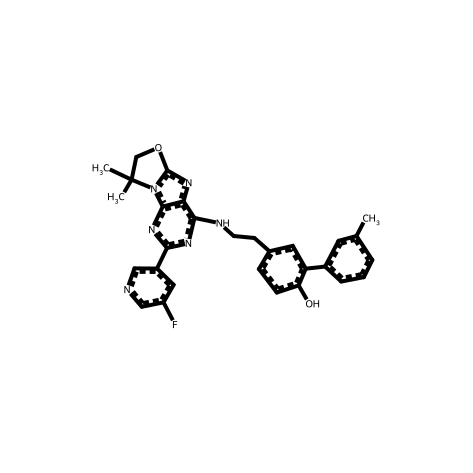 Cc1cccc(-c2cc(CCNc3nc(-c4cncc(F)c4)nc4c3nc3n4C(C)(C)CO3)ccc2O)c1